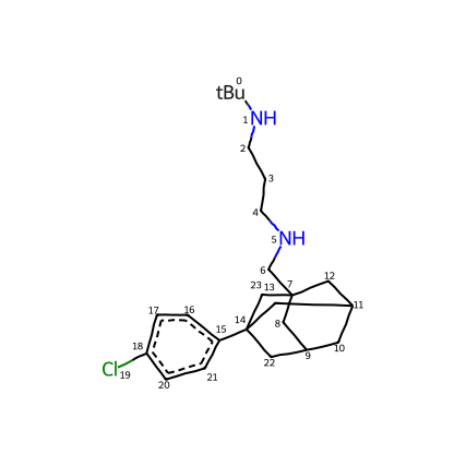 CC(C)(C)NCCCNCC12CC3CC(C1)CC(c1ccc(Cl)cc1)(C3)C2